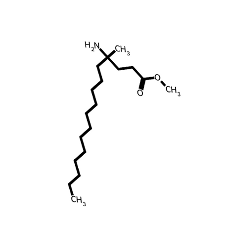 CCCCCCCCCCCCC(C)(N)CCC(=O)OC